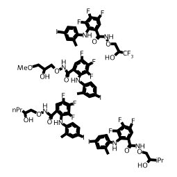 CCCC(O)CONC(=O)c1cc(F)c(F)c(F)c1Nc1ccc(I)cc1C.COCC(O)CONC(=O)c1cc(F)c(F)c(F)c1Nc1ccc(I)cc1C.Cc1cc(I)ccc1Nc1c(C(=O)NOCC(O)C(C)C)cc(F)c(F)c1F.Cc1cc(I)ccc1Nc1c(C(=O)NOCC(O)C(F)(F)F)cc(F)c(F)c1F